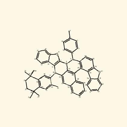 Cc1ccc(N2B3c4sc5ccccc5c4N(c4cc5c(cc4C)C(C)(C)CCC5(C)C)c4cc5ccccc5c(c43)-c3c2ccc2oc4ccccc4c32)cc1